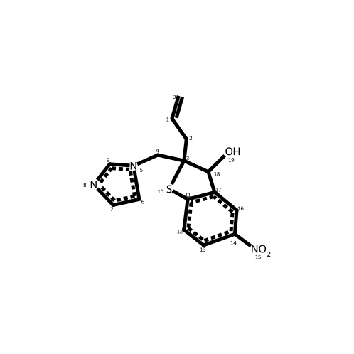 C=CCC1(Cn2ccnc2)Sc2ccc([N+](=O)[O-])cc2C1O